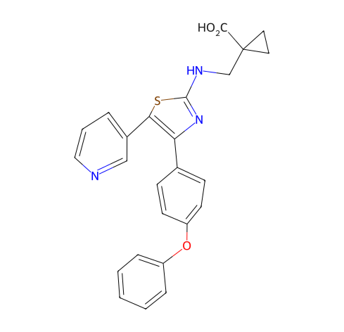 O=C(O)C1(CNc2nc(-c3ccc(Oc4ccccc4)cc3)c(-c3cccnc3)s2)CC1